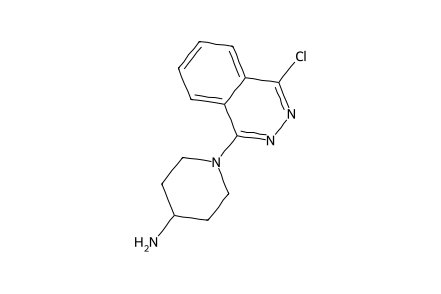 NC1CCN(c2nnc(Cl)c3ccccc23)CC1